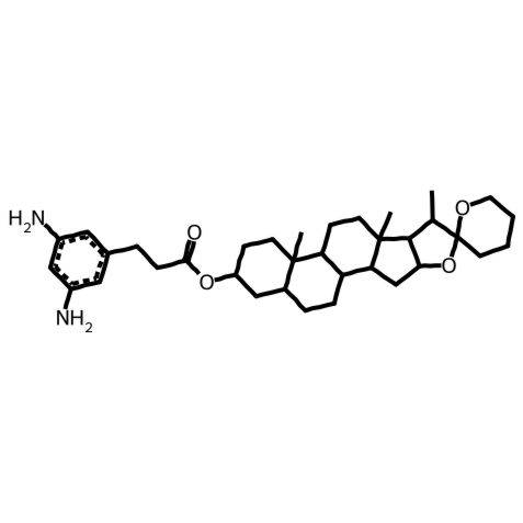 CC1C2C(CC3C4CCC5CC(OC(=O)CCc6cc(N)cc(N)c6)CCC5(C)C4CCC32C)OC12CCCCO2